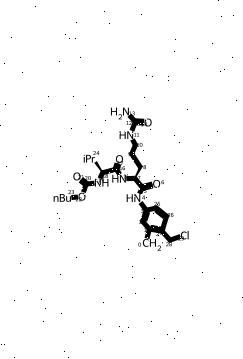 [CH2]c1cc(NC(=O)[C@H](CCCNC(N)=O)NC(=O)[C@@H](NC(=O)OCCCC)C(C)C)ccc1CCl